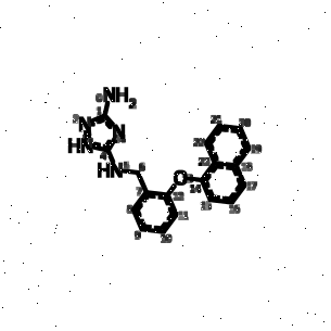 Nc1n[nH]c(NCc2ccccc2Oc2cccc3ccccc23)n1